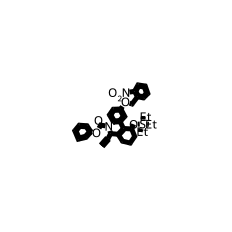 C#CC1C2=C(c3cc(OCc4ccccc4[N+](=O)[O-])ccc3N1C(=O)Oc1ccccc1)C(O[Si](CC)(CC)CC)CCC2